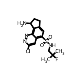 CC(C)(F)CNS(=O)(=O)c1cc2c(c3nnc(Cl)cc13)C(N)CC2